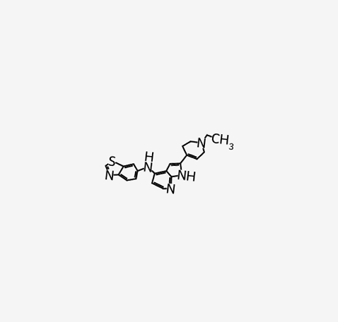 CCN1CC=C(c2cc3c(Nc4ccc5ncsc5c4)ccnc3[nH]2)CC1